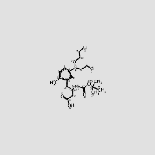 Cc1ccc(N(CCCl)OCCCl)cc1C[C@H](CC(=O)O)NC(=O)OC(C)(C)C